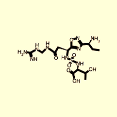 CC[C@H](N)c1noc([C@H](CC(=O)NCNC(=N)N)NS(=O)(=O)N[C@H](C(=O)O)C(C)O)n1